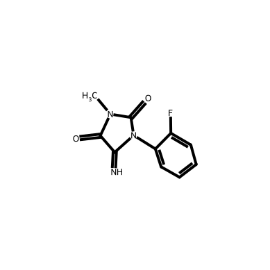 CN1C(=O)C(=N)N(c2ccccc2F)C1=O